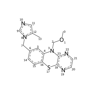 COCN1c2cc(Cn3cn[c]c3C)ccc2Sc2nccnc21